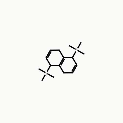 CS(C)(C)C1C=CCC2=C1CC=CC2S(C)(C)C